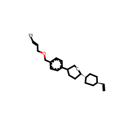 C=C[C@H]1CC[C@H](C2CCC(c3ccc(COC/C=C/CC)cc3)CC2)CC1